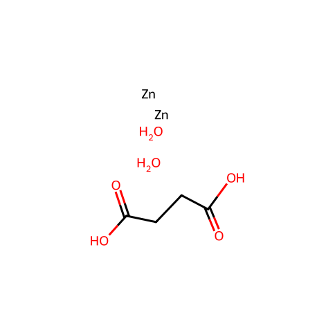 O.O.O=C(O)CCC(=O)O.[Zn].[Zn]